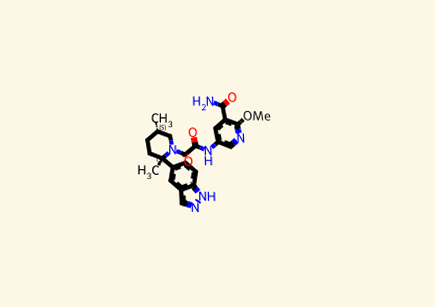 COc1ncc(NC(=O)C(=O)N2C[C@@H](C)CC[C@@]2(C)c2ccc3[nH]ncc3c2)cc1C(N)=O